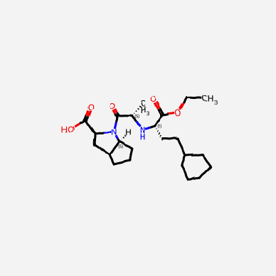 CCOC(=O)[C@H](CCC1CCCCC1)N[C@@H](C)C(=O)N1C(C(=O)O)CC2CCC[C@@H]21